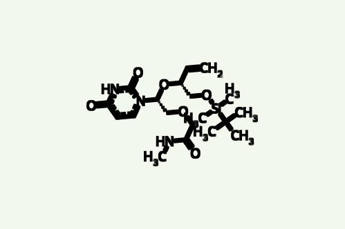 C=C[C@H](CO[Si](C)(C)C(C)(C)C)O[C@H](COCC(=O)NC)n1ccc(=O)[nH]c1=O